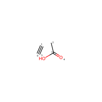 C#C.CC(=O)O